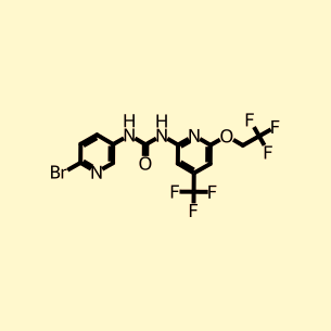 O=C(Nc1ccc(Br)nc1)Nc1cc(C(F)(F)F)cc(OCC(F)(F)F)n1